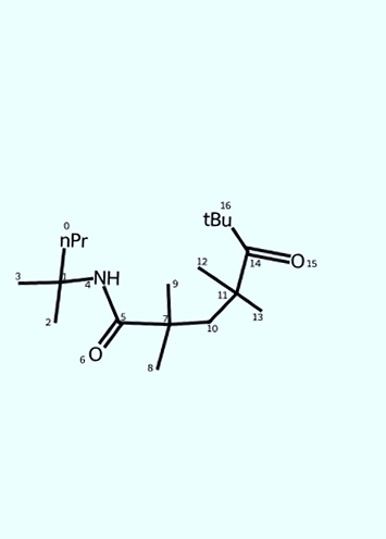 CCCC(C)(C)NC(=O)C(C)(C)CC(C)(C)C(=O)C(C)(C)C